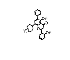 O=c1cc(-c2ccccc2O)oc2c(C3CCNCC3)cc(-c3ccccc3)c(O)c12